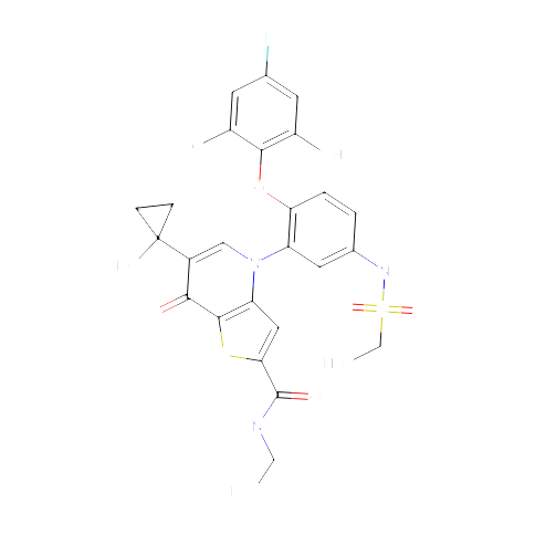 CCNC(=O)c1cc2c(s1)c(=O)c(C1(C)CC1)cn2-c1cc(NS(=O)(=O)CC)ccc1Oc1c(C)cc(F)cc1C